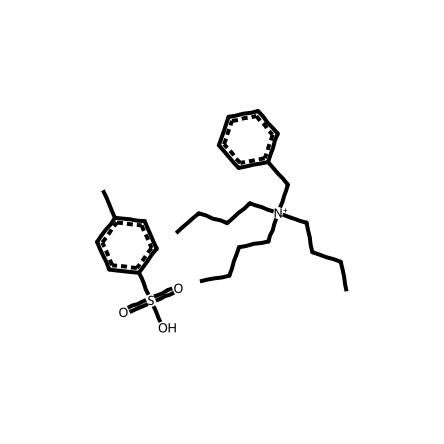 CCCC[N+](CCCC)(CCCC)Cc1ccccc1.Cc1ccc(S(=O)(=O)O)cc1